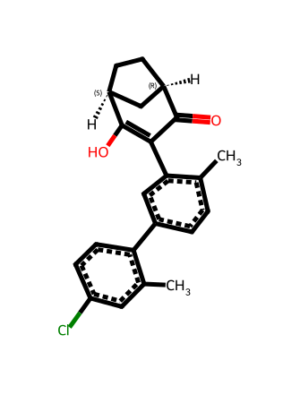 Cc1ccc(-c2ccc(Cl)cc2C)cc1C1=C(O)[C@H]2CC[C@H](C2)C1=O